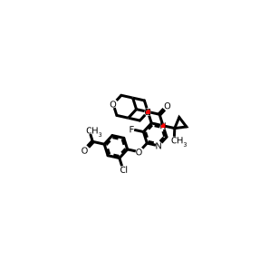 CC(=O)c1ccc(Oc2ncnc(OC3C4COCC3CN(C(=O)CC3(C)CC3)C4)c2F)c(Cl)c1